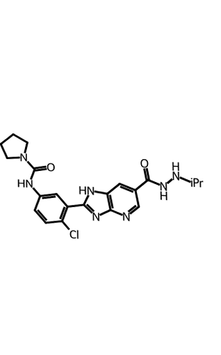 CC(C)NNC(=O)c1cnc2nc(-c3cc(NC(=O)N4CCCC4)ccc3Cl)[nH]c2c1